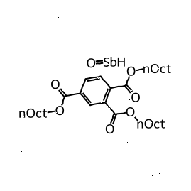 CCCCCCCCOC(=O)c1ccc(C(=O)OCCCCCCCC)c(C(=O)OCCCCCCCC)c1.[O]=[SbH]